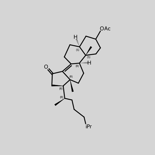 CC(=O)OC1CC[C@@]2(C)[C@@H](CCC3=C4C(=O)C[C@H]([C@H](C)CCCC(C)C)[C@@]4(C)CC[C@@H]32)C1